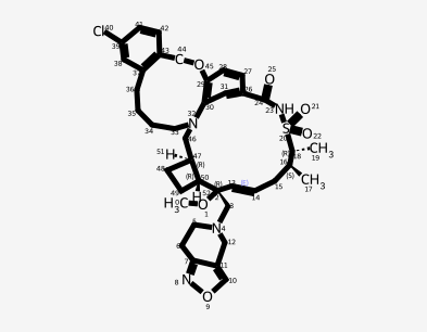 CO[C@@]1(CN2CCc3nocc3C2)/C=C/C[C@H](C)[C@@H](C)S(=O)(=O)NC(=O)c2ccc3c(c2)N(CCCCc2cc(Cl)ccc2CO3)C[C@@H]2CC[C@H]21